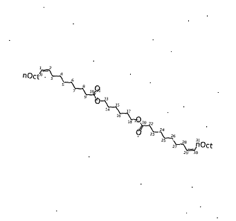 CCCCCCCC/C=C\CCCCCCCC(=O)OCCCCCCOC(=O)CCCCCCC/C=C\CCCCCCCC